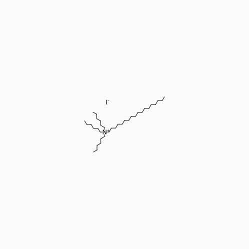 CCCCCCCCCCCCCCCCCC[N+](CCCCCC)(CCCCCC)CCCCCC.[I-]